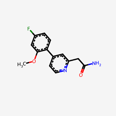 COc1cc(F)ccc1-c1ccnc(CC(N)=O)c1